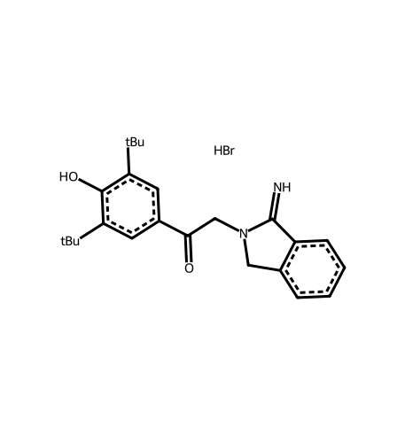 Br.CC(C)(C)c1cc(C(=O)CN2Cc3ccccc3C2=N)cc(C(C)(C)C)c1O